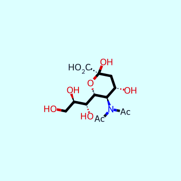 CC(=O)N(C(C)=O)[C@H]1[C@H]([C@H](O)[C@H](O)CO)O[C@](O)(C(=O)O)C[C@@H]1O